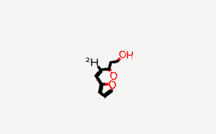 [2H]C(=Cc1ccco1)C(=O)CCO